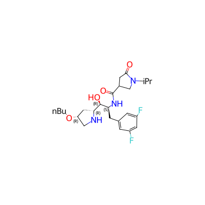 CCCCO[C@H]1CN[C@@H]([C@@H](O)[C@H](Cc2cc(F)cc(F)c2)NC(=O)C2CC(=O)N(C(C)C)C2)C1